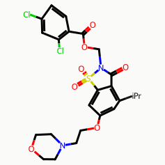 CC(C)c1cc(OCCN2CCOCC2)cc2c1C(=O)N(COC(=O)c1ccc(Cl)cc1Cl)S2(=O)=O